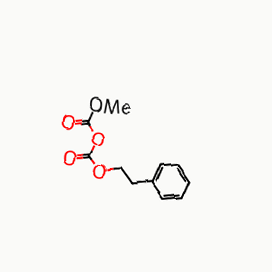 COC(=O)OC(=O)OCCc1ccccc1